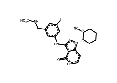 N#C[C@H]1CCCC[C@@H]1n1nc(Nc2cc(F)cc(CNC(=O)O)c2)c2c(=O)[nH]ccc21